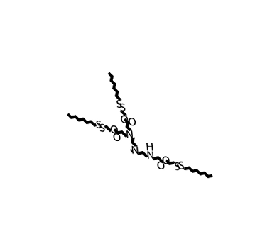 CCCCCCCCSSCCOC(=O)CCNCCCN(C)CCCN(CCC(=O)OCCSSCCCCCCCC)CCC(=O)OCCSSCCCCCCCC